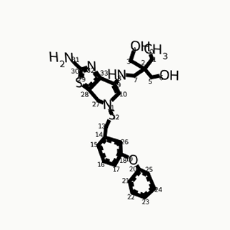 CCC(CO)(CO)CNC1=CN(SCc2cccc(Oc3ccccc3)c2)Cc2sc(N)nc21